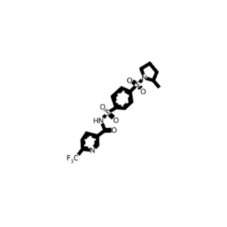 CC1CCCN1S(=O)(=O)c1ccc(S(=O)(=O)NC(=O)c2ccc(C(F)(F)F)nc2)cc1